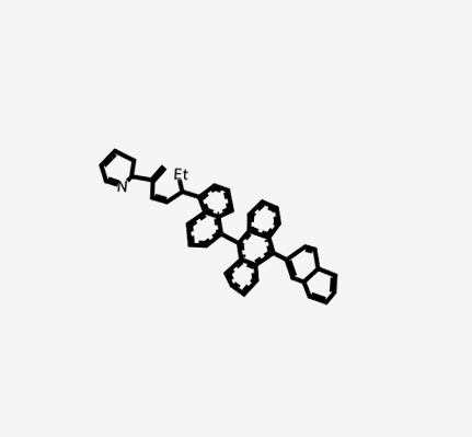 C=C(/C=C\C(CC)c1cccc2c(-c3c4ccccc4c(C4=CC5C=CC=CC5C=C4)c4ccccc34)cccc12)C1CC=CC=N1